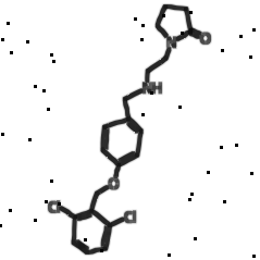 O=C1CCCN1CCNCc1ccc(OCc2c(Cl)cccc2Cl)cc1